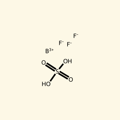 O=S(=O)(O)O.[B+3].[F-].[F-].[F-]